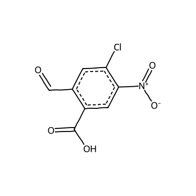 O=Cc1cc(Cl)c([N+](=O)[O-])cc1C(=O)O